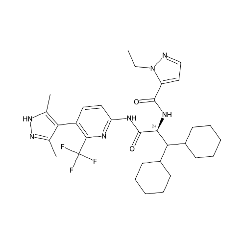 CCn1nccc1C(=O)N[C@H](C(=O)Nc1ccc(-c2c(C)n[nH]c2C)c(C(F)(F)F)n1)C(C1CCCCC1)C1CCCCC1